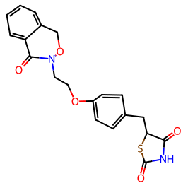 O=C1NC(=O)C(Cc2ccc(OCCN3OCc4ccccc4C3=O)cc2)S1